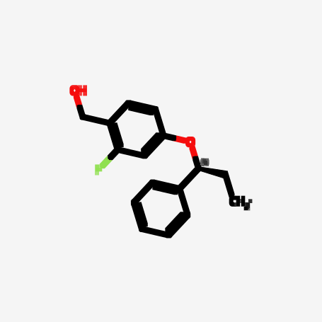 [CH2]C[C@H](Oc1ccc(CO)c(F)c1)c1ccccc1